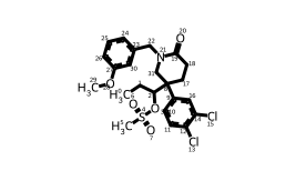 CCC(OS(C)(=O)=O)C1(c2ccc(Cl)c(Cl)c2)CCC(=O)N(Cc2cccc(OC)c2)C1